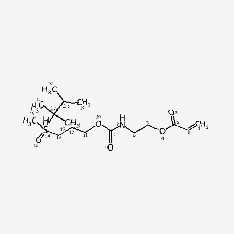 C=CC(=O)OCCNC(=O)OCCC[SH](C)(=O)C(C)(C)C(C)C